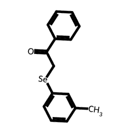 Cc1cccc([Se]CC(=O)c2ccccc2)c1